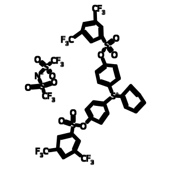 O=S(=O)(Oc1ccc([S+](c2ccccc2)c2ccc(OS(=O)(=O)c3cc(C(F)(F)F)cc(C(F)(F)F)c3)cc2)cc1)c1cc(C(F)(F)F)cc(C(F)(F)F)c1.O=S(=O)([N-]S(=O)(=O)C(F)(F)F)C(F)(F)F